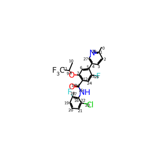 Cc1ccc(-c2cc(OC(C)C(F)(F)F)c(C(=O)Nc3c(F)cccc3Cl)cc2F)cn1